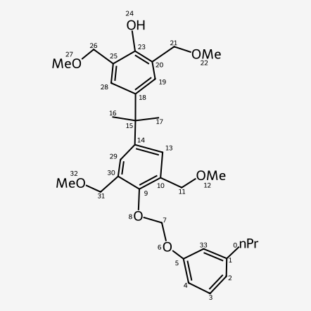 CCCc1cccc(OCOc2c(COC)cc(C(C)(C)c3cc(COC)c(O)c(COC)c3)cc2COC)c1